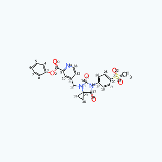 O=C(Oc1ccccc1)c1cc(CN2C(=O)N(c3ccc(S(=O)(=O)C(F)(F)F)cc3)C(=O)C23CC3)ccn1